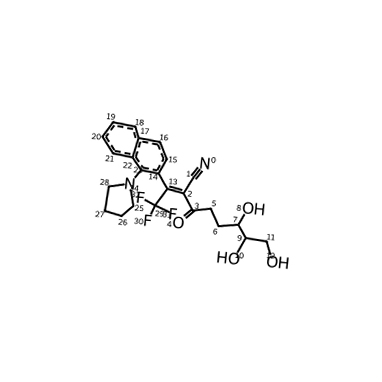 N#C/C(C(=O)CCC(O)C(O)CO)=C(\c1ccc2ccccc2c1N1CCCC1)C(F)(F)F